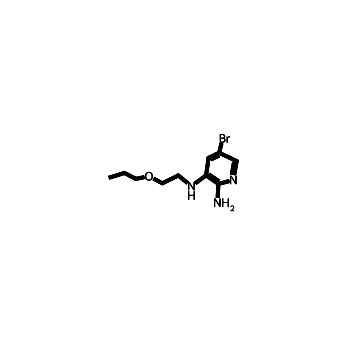 CCCOCCNc1cc(Br)cnc1N